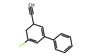 C#CC1C=C(c2ccccc2)C=C(F)C1